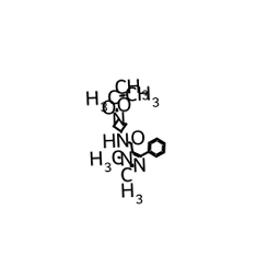 Cc1nc(-c2ccccc2)c(C(=O)NC2CN(C(=O)OC(C)(C)C)C2)n1C